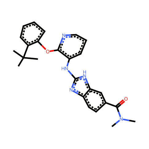 CN(C)C(=O)c1ccc2nc(Nc3cccnc3Oc3ccccc3C(C)(C)C)[nH]c2c1